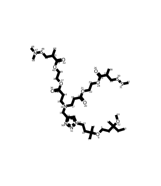 CCC(C)(CCOC(C)(C)CCn1cc(CN(CCC(=O)OCCOC(=O)C(C)CSSC)CCC(=O)OCCOC(=O)C(C)CSN(C)C)nn1)OC